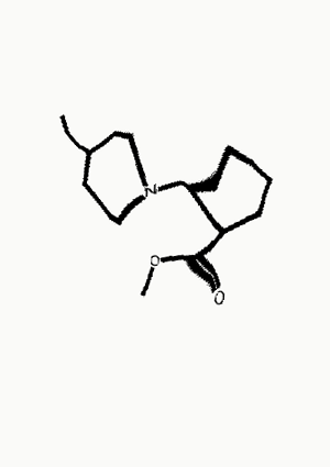 COC(=O)C1CCCC1N1CCC(C)C1